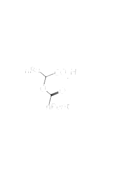 CCCCCC(=O)OC(CCCC)C(=O)O